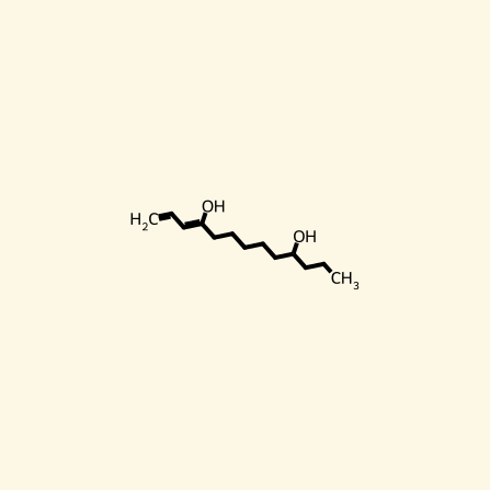 C=CC=C(O)CCCCCC(O)CCC